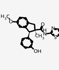 COc1ccc2c(c1)[C@H](c1cccc(O)c1)[C@](C)(C(=O)Nc1nccs1)C2